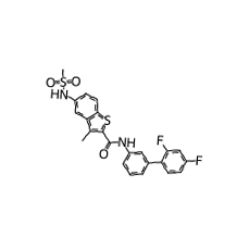 Cc1c(C(=O)Nc2cccc(-c3ccc(F)cc3F)c2)sc2ccc(NS(C)(=O)=O)cc12